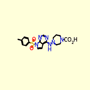 Cc1ccc(S(=O)(=O)n2ccc3c(NN4CCCN(C(=O)O)CC4)ncnc32)cc1